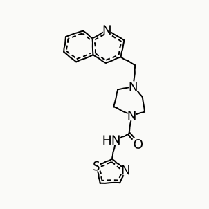 O=C(Nc1nccs1)N1CCN(Cc2cnc3ccccc3c2)CC1